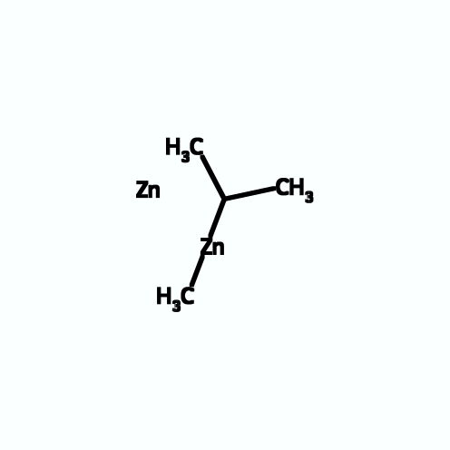 [CH3][Zn][CH](C)C.[Zn]